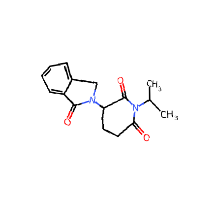 CC(C)N1C(=O)CCC(N2Cc3ccccc3C2=O)C1=O